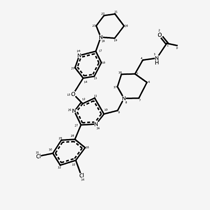 CC(=O)NCC1CCN(Cc2cc(Oc3ccc(N4CCCCC4)nc3)nc(-c3cc(Cl)cc(Cl)c3)n2)CC1